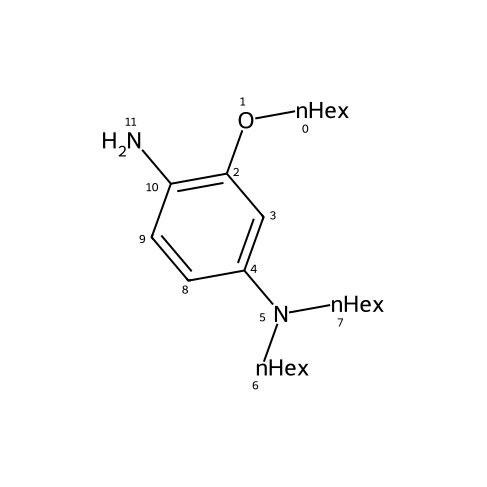 CCCCCCOc1cc(N(CCCCCC)CCCCCC)ccc1N